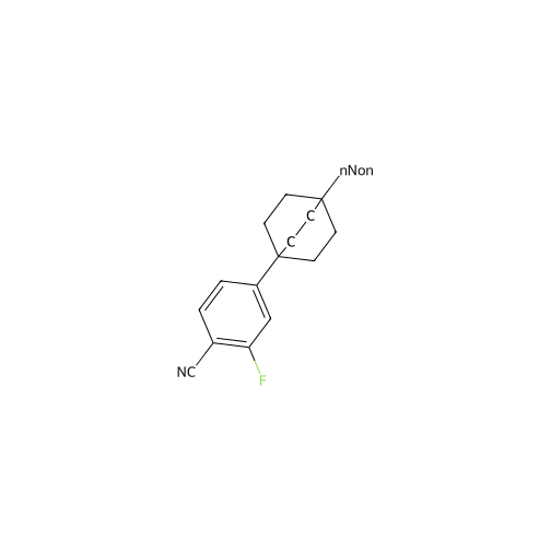 CCCCCCCCCC12CCC(c3ccc(C#N)c(F)c3)(CC1)CC2